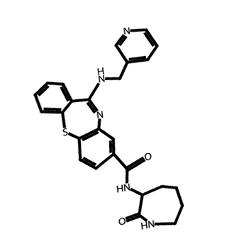 O=C(NC1CCCCNC1=O)c1ccc2c(c1)N=C(NCc1cccnc1)c1ccccc1S2